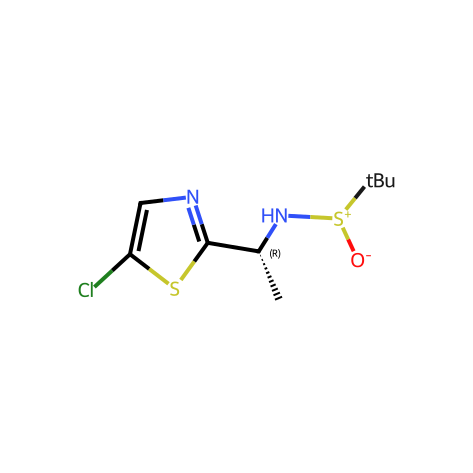 C[C@@H](N[S+]([O-])C(C)(C)C)c1ncc(Cl)s1